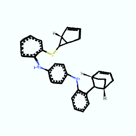 C1=C[C@@H]2C(C1)C2Sc1ccccc1Nc1ccc(Nc2ccccc2C2[C@H]3CC=C[C@@H]2C3)cc1